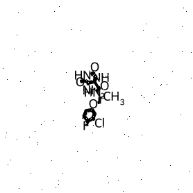 C[C@H](COc1ccc(F)c(Cl)c1)NC(=O)c1[nH]c(=O)[nH]c(=O)c1N